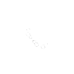 Cc1c(-c2cc3ccc(-c4cccc(O)c4F)nc3n2CC2CC2)oc2cc(C(=O)N3CC4CCC3C4C)ccc12